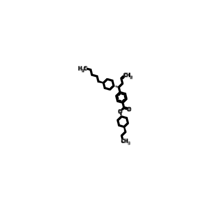 C=CCC(c1ccc(C(=O)O[C@H]2CC[C@H](CCC)CC2)cc1)[C@H]1CC[C@H](CCCCC)CC1